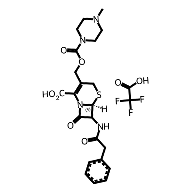 CN1CCN(C(=O)OCC2=C(C(=O)O)N3C(=O)C(NC(=O)Cc4ccccc4)[C@@H]3SC2)CC1.O=C(O)C(F)(F)F